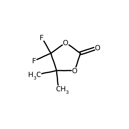 CC1(C)OC(=O)OC1(F)F